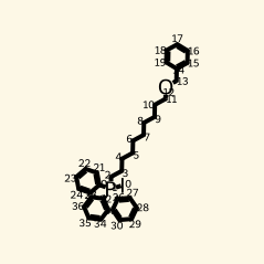 IP(CCCCCCCCCCOCc1ccccc1)(c1ccccc1)(c1ccccc1)c1ccccc1